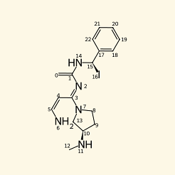 C=C(/N=C(\C=C/N)N1CC[C@@H](NC)C1)N[C@H](I)c1ccccc1